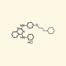 Cl.c1ccc(Nc2nc(Nc3ccc(OCCCC4CCCCC4)cc3)nc3ccccc23)cc1